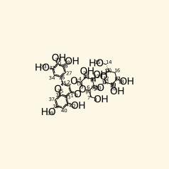 O=c1c(O[C@@H]2O[C@H](CO)[C@H](O[C@@H]3O[C@H](CO)C[C@H](O)[C@H]3O)[C@H](O)[C@H]2O)c(-c2cc(O)c(O)c(O)c2)oc2cc(O)cc(O)c12